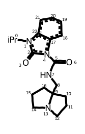 CC(C)n1c(=O)n(C(=O)NCC23CCCN2CCC3)c2ccccc21